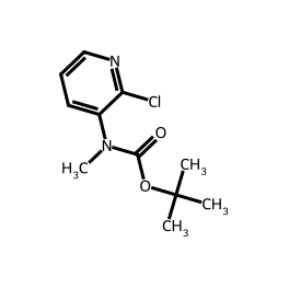 CN(C(=O)OC(C)(C)C)c1cccnc1Cl